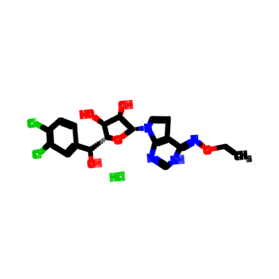 CCON=c1[nH]cnc2c1ccn2[C@@H]1O[C@H](C(O)c2ccc(Cl)c(Cl)c2)[C@@H](O)[C@H]1O.Cl